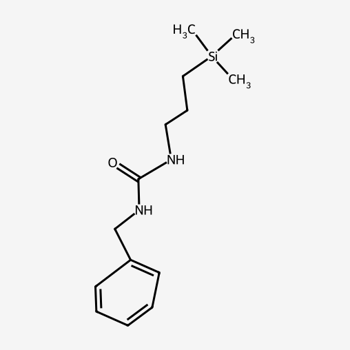 C[Si](C)(C)CCCNC(=O)NCc1ccccc1